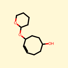 OC1CC/C=C\C(OC2CCCCO2)CC1